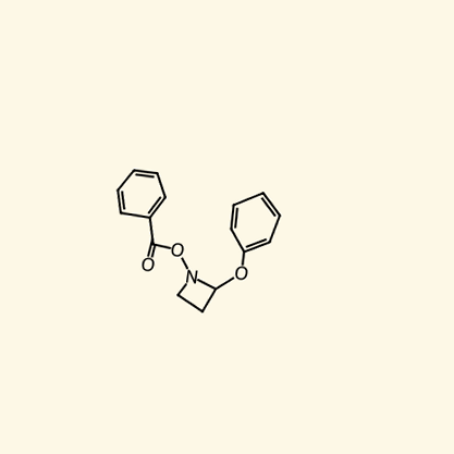 O=C(ON1CCC1Oc1ccccc1)c1ccccc1